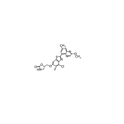 COc1cnc2c(-c3nc4c(Cl)c(F)c(OCC5CNC(=O)O5)cc4s3)cc(C)cc2n1